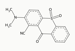 CN(C)c1ccc2c(c1C#N)C(=O)c1ccccc1S2(=O)=O